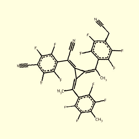 C/C(=C1/C(=C(C#N)c2c(F)c(F)c(C#N)c(F)c2F)/C1=C(\C)c1c(F)c(F)c(C)c(F)c1F)c1c(F)c(F)c(CC#N)c(F)c1F